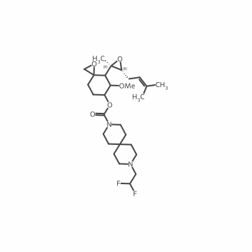 COC1C(OC(=O)N2CCC3(CCN(CC(F)F)CC3)CC2)CCC2(CO2)C1[C@@]1(C)O[C@@H]1CC=C(C)C